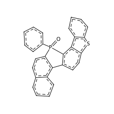 O=P1(c2ccccc2)c2ccc3ccccc3c2-c2ccc3sc4ccccc4c3c21